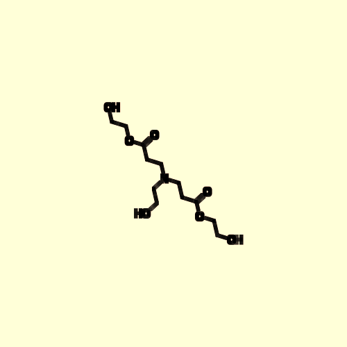 O=C(CCN(CCO)CCC(=O)OCCO)OCCO